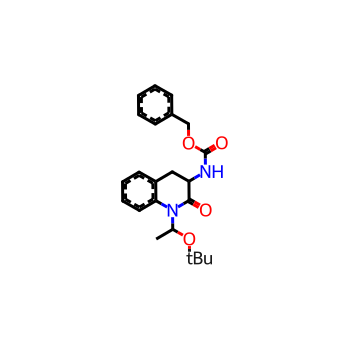 CC(OC(C)(C)C)N1C(=O)C(NC(=O)OCc2ccccc2)Cc2ccccc21